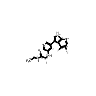 C[C@@H](Nc1cncc(-c2c[nH]c3ncc(Cl)c(F)c23)c1)C(=O)NCC(F)(F)F